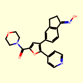 O=C(c1cc(-c2ccc3c(c2)CCC3=NO)c(-c2ccncc2)o1)N1CCOCC1